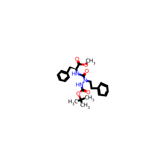 COC(=O)[C@H](Cc1ccccc1)NC(=O)N(CCc1ccccc1)NC(=O)OC(C)(C)C